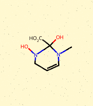 CN1C=CCN(O)C1(O)C(=O)O